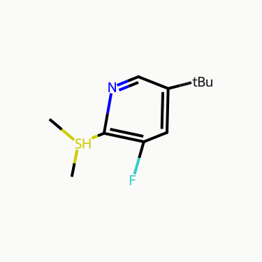 C[SH](C)c1ncc(C(C)(C)C)cc1F